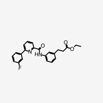 CCOC(=O)CCc1cccc(NC(=O)c2cccc(-c3cccc(F)c3)n2)c1